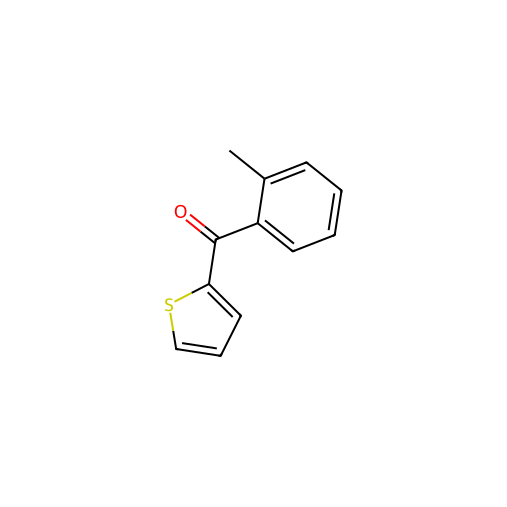 Cc1ccccc1C(=O)c1cccs1